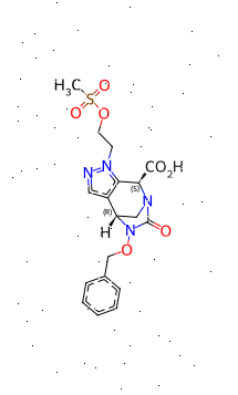 CS(=O)(=O)OCCn1ncc2c1[C@@H](C(=O)O)N1C[C@@H]2N(OCc2ccccc2)C1=O